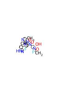 C=C(F)C(=O)N1CCC(n2c(=O)c(=O)n(-c3c(C)ccnc3C(C)C)c3nc(-c4c(C)ccc5[nH]ncc45)c(F)cc32)C[C@@H]1CO